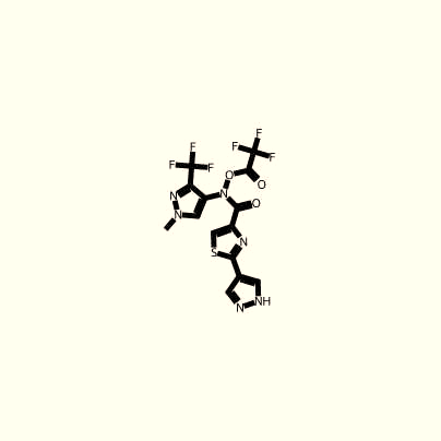 Cn1cc(N(OC(=O)C(F)(F)F)C(=O)c2csc(-c3cn[nH]c3)n2)c(C(F)(F)F)n1